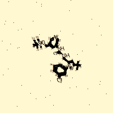 CC(C)(C)c1cc(CNC(=O)Nc2cncc(CO[Si](C)(C)C(C)(C)C)c2)n(-c2cccc(Cl)c2)n1